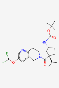 CC(C)[C@]1(C(=O)N2CCc3ncc(OC(F)F)cc3C2)CC[C@@H](NC(=O)OC(C)(C)C)C1